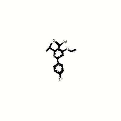 CCOc1cc(-c2ccc(Cl)cc2)nc(C(C)C)c1C(=O)O